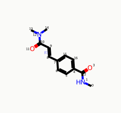 CNC(=O)c1ccc(/C=C/C(=O)N(C)C)cc1